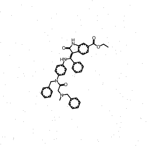 CCOC(=O)c1ccc2c(c1)NC(=O)/C2=C(\Nc1ccc(N(Cc2ccccc2)C(=O)CN(C)Cc2ccccc2)cc1)c1ccccc1